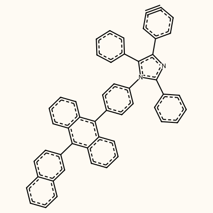 c1ccc(-c2nc(-c3ccccc3)n(-c3ccc(-c4c5ccccc5c(-c5ccc6ccccc6c5)c5ccccc45)cc3)c2-c2ccccc2)cc#1